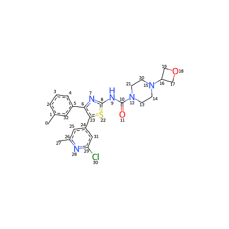 Cc1cccc(-c2nc(NC(=O)N3CCN(C4COC4)CC3)sc2-c2cc(C)nc(Cl)c2)c1